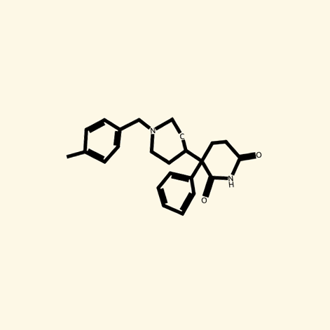 Cc1ccc(CN2CCC(C3(c4ccccc4)CCC(=O)NC3=O)CC2)cc1